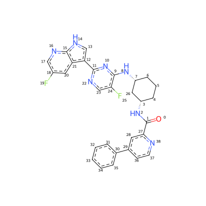 O=C(N[C@H]1CCC[C@@H](Nc2nc(-c3c[nH]c4ncc(F)cc34)ncc2F)C1)c1cc(-c2ccccc2)ccn1